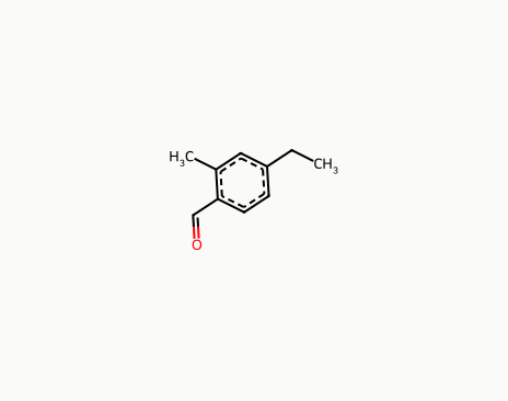 CCc1ccc(C=O)c(C)c1